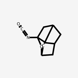 O=C=NC12CC3CC(CC(C3)O1)C2